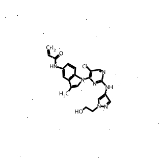 C=CC(=O)Nc1ccc2c(c1)c(C)cn2-c1nc(Nc2cnn(CCO)c2)ncc1Cl